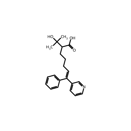 CC(C)(O)C(CCC/C=C(\c1ccccc1)c1cccnc1)C(=O)O